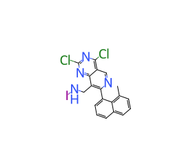 Cc1cccc2cccc(-c3ncc4c(Cl)nc(Cl)nc4c3CNI)c12